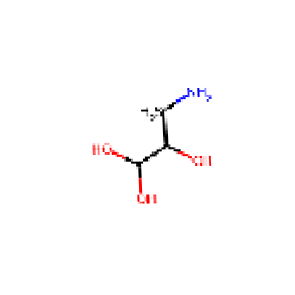 N[SiH2]C(O)C(O)O